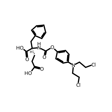 O=C(O)CC[C@](Cc1ccccc1)(NC(=O)Oc1ccc(N(CCCl)CCCl)cc1)C(=O)O